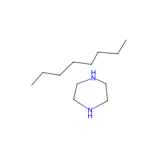 C1CNCCN1.CCCCCCCC